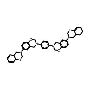 C1=CC2CN(c3ccc4c(c3)CN(c3ccc(N5COc6ccc(N7COC8=CCCCC8C7)cc6C5)cc3)CO4)COC2C=C1